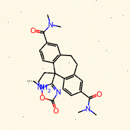 C[C@@H](N)CC1(c2nc(=O)on2C)c2ccc(C(=O)N(C)C)cc2CCc2cc(C(=O)N(C)C)ccc21